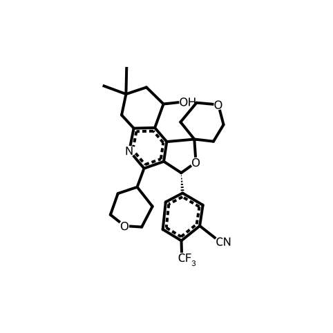 CC1(C)Cc2nc(C3CCOCC3)c3c(c2C(O)C1)C1(CCOCC1)O[C@@H]3c1ccc(C(F)(F)F)c(C#N)c1